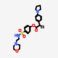 CCC(C(=O)Oc1ccc(S(=O)(=O)NCCN2CCOCC2)cc1)c1ccc(N2CCCC2)cc1